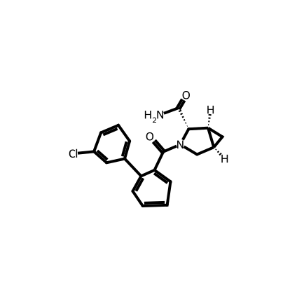 NC(=O)[C@@H]1[C@H]2C[C@H]2CN1C(=O)c1ccccc1-c1cccc(Cl)c1